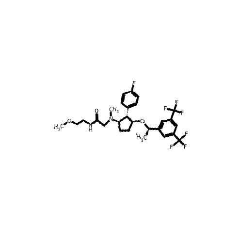 COCCNC(=O)CN(C)[C@@H]1CC[C@H](O[C@H](C)c2cc(C(F)(F)F)cc(C(F)(F)F)c2)[C@H]1c1ccc(F)cc1